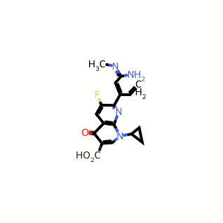 C=C/C(=C\C(N)=N/C)c1nc2c(cc1F)c(=O)c(C(=O)O)cn2C1CC1